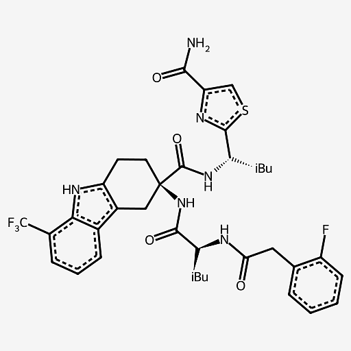 CC[C@H](C)[C@H](NC(=O)Cc1ccccc1F)C(=O)N[C@]1(C(=O)N[C@H](c2nc(C(N)=O)cs2)[C@@H](C)CC)CCc2[nH]c3c(C(F)(F)F)cccc3c2C1